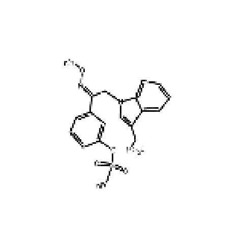 CCCO/N=C(\Cn1cc(CC(=O)O)c2ccccc21)c1cccc(OS(=O)(=O)CCC)c1